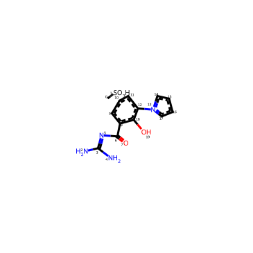 CS(=O)(=O)O.NC(N)=NC(=O)c1cccc(-n2cccc2)c1O